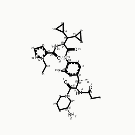 CCC(=O)N[C@@H](C(=O)N1CCC[C@@H](N)C1)[C@@H](C)c1ccc(NC(=O)[C@@H](NC(=O)c2ccnn2CC)C(C2CC2)C2CC2)c(F)c1